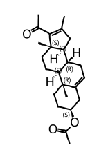 CC(=O)O[C@H]1CC[C@@]2(C)C(=CC[C@@H]3[C@@H]2CC[C@]2(C)C(C(C)=O)=C(C)C[C@@H]32)C1